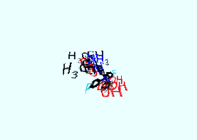 CN[C@@H](C)C(=O)N[C@H](C(=O)N1CCC[C@H]1Cc1c(-c2ccc(F)cc2)n([C@@H]2OC[C@@H](O)[C@H](O)[C@H]2O)c2cc(F)ccc12)C(C)(C)C